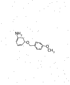 COc1ccc(COC2[CH]C(N)=CC=C2)cc1